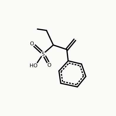 C=C(c1ccccc1)C(CC)S(=O)(=O)O